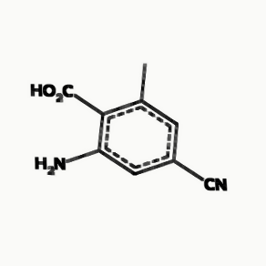 Cc1cc(C#N)cc(N)c1C(=O)O